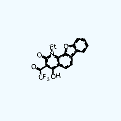 CCn1c(=O)c(C(=O)C(F)(F)F)c(O)c2ccc3c4ccccc4oc3c21